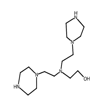 OCCN(CCN1CCNCC1)CCN1CCNCC1